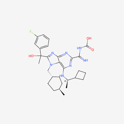 C[C@@H](Nc1nc(C(=N)NC(=O)O)nc2nc(C(C)(O)c3cccc(F)c3)n(C[C@H]3CC[C@H](C)CC3)c12)C1CCC1